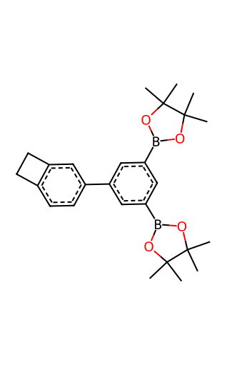 CC1(C)OB(c2cc(B3OC(C)(C)C(C)(C)O3)cc(-c3ccc4c(c3)CC4)c2)OC1(C)C